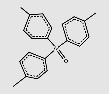 Cc1ccc([As](=O)(c2ccc(C)cc2)c2ccc(C)cc2)cc1